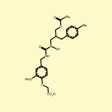 COc1cc(CNC(=O)N(S)CC(COC(=O)C(C)(C)C)Cc2ccc(C(C)(C)C)cc2)ccc1OCC(=O)O